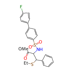 CCSC(c1ccccc1)C(NS(=O)(=O)c1ccc(-c2ccc(F)cc2)cc1)C(=O)OC